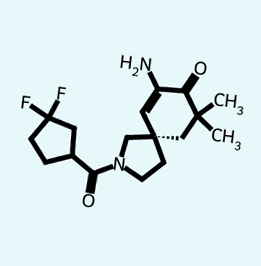 CC1(C)C[C@]2(C=C(N)C1=O)CCN(C(=O)C1CCC(F)(F)C1)C2